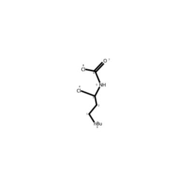 CCCCCCC(Cl)NC(=O)Cl